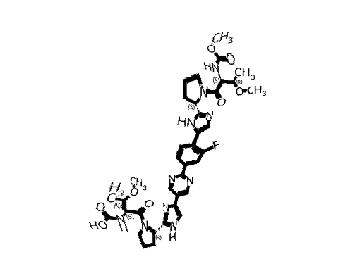 COC(=O)N[C@H](C(=O)N1CCC[C@H]1c1ncc(-c2ccc(-c3ncc(-c4c[nH]c([C@@H]5CCCN5C(=O)[C@@H](NC(=O)O)[C@@H](C)OC)n4)cn3)cc2F)[nH]1)[C@@H](C)OC